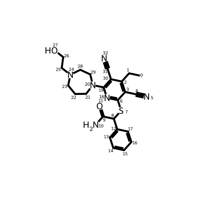 CCc1c(C#N)c(SC(C(N)=O)c2ccccc2)nc(N2CCCN(CCO)CC2)c1C#N